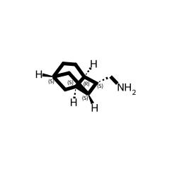 NC[C@H]1[C@@H]2CC[C@@H]3C[C@H]1[C@H]2C3